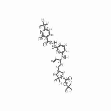 C=CC(CCC1CN(C(=O)OC(C)(C)C)C(C)(C)C1)Nc1cccc(SNC(=O)c2ccc(C(C)(C)C)nc2F)n1